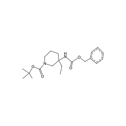 CCC1(NC(=O)OCc2ccccc2)CCCN(C(=O)OC(C)(C)C)C1